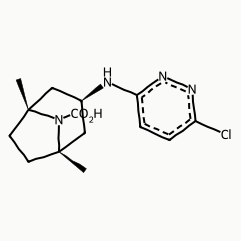 C[C@]12CC[C@](C)(C[C@@H](Nc3ccc(Cl)nn3)C1)N2C(=O)O